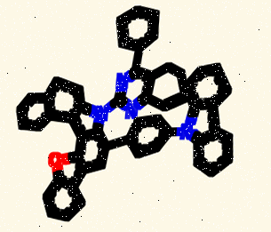 C1=Cc2nc(-n3c4ccc5ccccc5c4c4c5oc6ccccc6c5cc(-c5ccc(-n6c7ccccc7c7ccccc76)cc5)c43)nc(-c3ccccc3)c2CC1